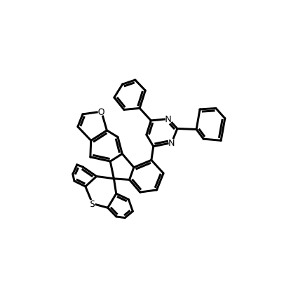 c1ccc(-c2cc(-c3cccc4c3-c3cc5occc5cc3C43c4ccccc4Sc4ccccc43)nc(-c3ccccc3)n2)cc1